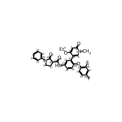 CCOc1cc(=O)n(C)cc1-c1cc(NC(=O)C2CCN(c3ccccc3)C2=O)ccc1Oc1ccc(F)cc1F